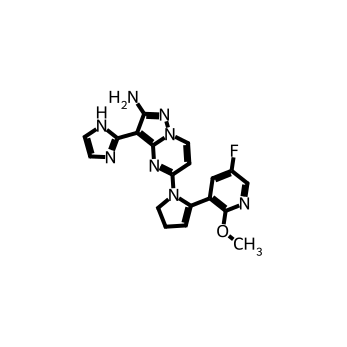 COc1ncc(F)cc1C1=CCCN1c1ccn2nc(N)c(-c3ncc[nH]3)c2n1